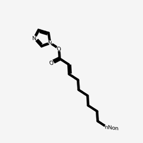 CCCCCCCCCCCCCCCC=CC(=O)On1ccnc1